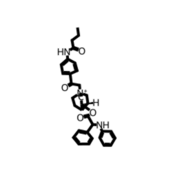 CCCC(=O)Nc1ccc(C(=O)C[N+]23CCC(CC2)[C@@H](OC(=O)C(Nc2ccccc2)c2ccccc2)C3)cc1